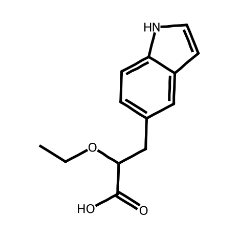 CCOC(Cc1ccc2[nH]ccc2c1)C(=O)O